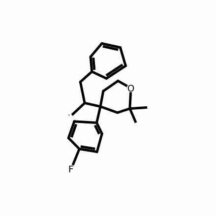 [CH2]C(Cc1ccccc1)C1(c2ccc(F)cc2)CCOC(C)(C)C1